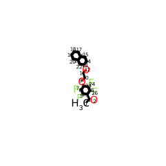 CC(=O)c1c(F)c(F)c(OCCOc2ccc3ccccc3c2)c(F)c1F